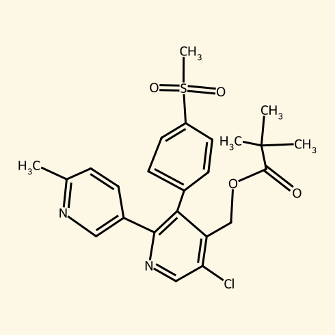 Cc1ccc(-c2ncc(Cl)c(COC(=O)C(C)(C)C)c2-c2ccc(S(C)(=O)=O)cc2)cn1